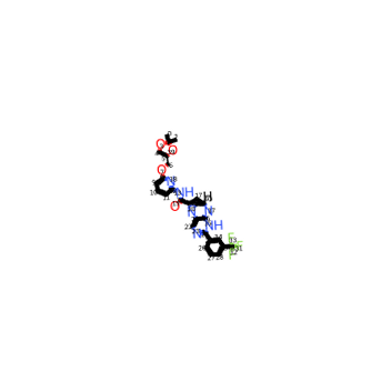 CC1(C)OC[C@H](COc2cccc(NC(=O)C3C[C@H]4CN3C3=CN=C(c5cccc(C(F)(F)F)c5)NC3=N4)n2)O1